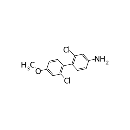 COc1ccc(-c2ccc(N)cc2Cl)c(Cl)c1